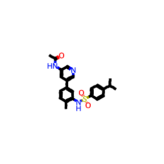 CC(=O)Nc1cncc(-c2ccc(C)c(NS(=O)(=O)c3ccc(C(C)C)cc3)c2)c1